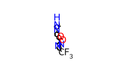 CC1(C)CN(c2ccc3cc(-c4cn5ccc(C(F)(F)F)cc5n4)c(=O)oc3c2)CCN1